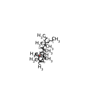 CCCCC(CCC)C(C)(C)C1CC1(C)C(CC)PC(C)(C)C1CC1(C)C(C)CC